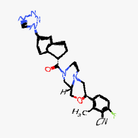 Cc1c([C@@H]2CN3CCN(C(=O)[C@H]4CCc5cc(-n6cnnn6)ccc54)C[C@H]3CO2)ccc(F)c1C#N